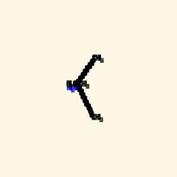 CCCCCCCCCCCCCCCCCC(N)C(C)(C)CCCCCCCCCCCCCCC